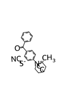 CC1CC2CC[N+]1(c1ccc(C(=O)c3ccccc3)cc1)CC2.N#C[S-]